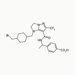 CC(NC(=O)c1c(C(F)(F)F)nn2c1N(CC1CCC(CBr)CC1)CC2)c1ccc(C(=O)O)cc1